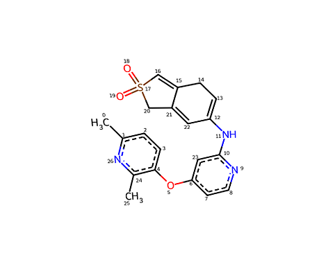 Cc1ccc(Oc2ccnc(NC3=CCC4=CS(=O)(=O)CC4=C3)c2)c(C)n1